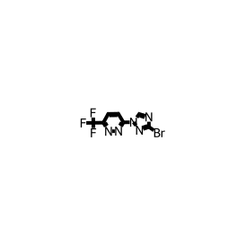 FC(F)(F)c1ccc(-n2cnc(Br)n2)nn1